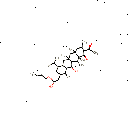 CCCCOC(O)CC1CC(C(C)C)C2CC3(C)CC4(C)CC(C)C(C(C)=O)C(=O)C4(C)C(C)C3C(O)C2C1C